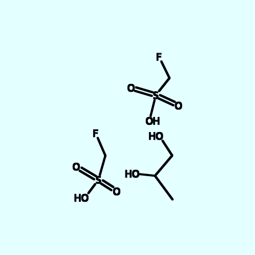 CC(O)CO.O=S(=O)(O)CF.O=S(=O)(O)CF